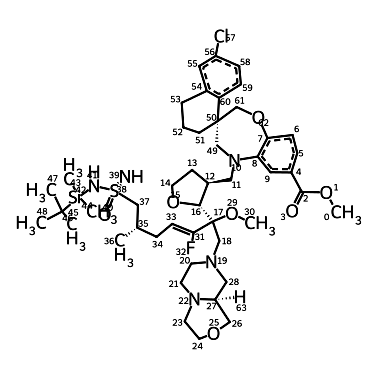 COC(=O)c1ccc2c(c1)N(C[C@@H]1CCO[C@H]1C(CN1CCN3CCOC[C@@H]3C1)(OC)/C(F)=C/C[C@H](C)CS(=N)(=O)N[Si](C)(C)C(C)(C)C)C[C@@]1(CCCc3cc(Cl)ccc31)CO2